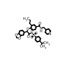 CCCc1cc(C(=O)NCc2ccncc2)ccc1OC(C(=O)NS(=O)(=O)c1ccc(C(C)C)cc1)c1ccc2c(c1)OCO2